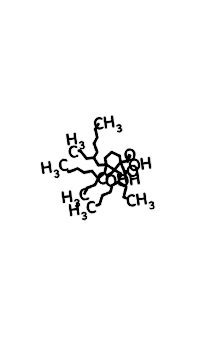 CCCCCC(CCC)CC1(CC(CCC)CCCCC)CCCC(C(=O)O)(C(=O)O)C1(CC(CCC)CCCCC)C(=O)O